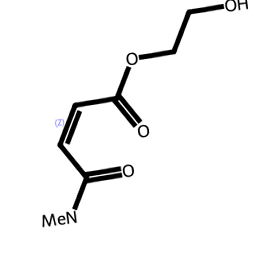 CNC(=O)/C=C\C(=O)OCCO